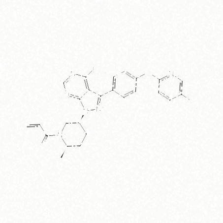 C=CC(=O)N1C[C@@H](n2nc(-c3ccc(Oc4ccc(Cl)cn4)cc3)c3c(N)ncnc32)CC[C@H]1C